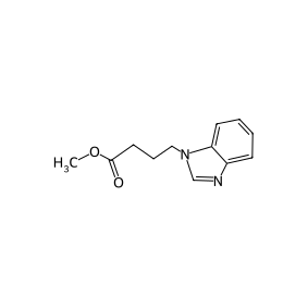 COC(=O)CCCn1cnc2ccccc21